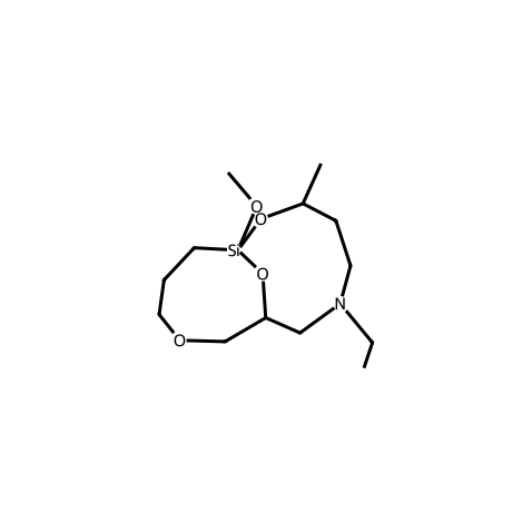 CCN1CCC(C)O[Si]2(OC)CCCOCC(C1)O2